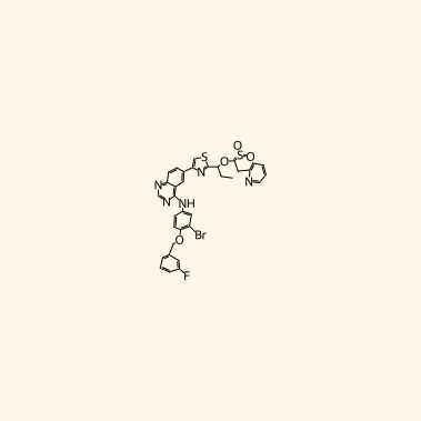 CCC(OC(Cc1ccccn1)=S(=O)=O)c1nc(-c2ccc3ncnc(Nc4ccc(OCc5cccc(F)c5)c(Br)c4)c3c2)cs1